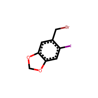 BrCc1cc2c(cc1I)OCO2